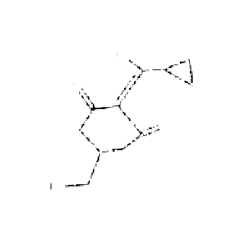 O=C1CC(CO)CC(=O)C1=C(O)C1CC1